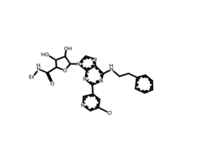 CCNC(=O)C1OC(n2cnc3c(NCCc4ccccc4)nc(-c4cncc(Cl)c4)nc32)C(O)C1O